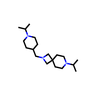 CC(C)N1CCC(CN2CC3(CCN(C(C)C)CC3)C2)CC1